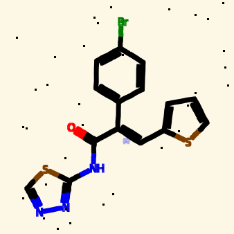 O=C(Nc1nncs1)/C(=C/c1cccs1)c1ccc(Br)cc1